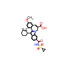 COc1cc(C)c2c(c1)C=C(C(=O)O)Cn1c-2c(C2CCCCC2)c2ccc(C(=O)NS(=O)(=O)C3CC3)cc21